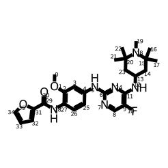 COc1cc(Nc2ncc(F)c(NC3CC(C)(C)N(C)C(C)(C)C3)n2)ccc1NC(=O)c1ccco1